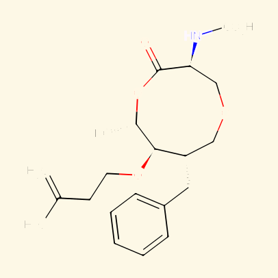 C=C(C)CCO[C@@H]1[C@@H](Cc2ccccc2)COC[C@H](NC(=O)O)C(=O)O[C@H]1C